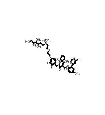 CN(CCOCCOc1ccc(CN2C(=O)C(C(=O)Nc3ccc(C(F)(F)F)cc3-c3cc(C(F)(F)F)ncn3)=C(O)C3(CCCC3)N2C)c(F)c1F)CC(O)C(O)C(O)C(O)CO